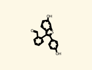 O=Cc1ccccc1-c1c(-c2ccc(O)cc2)sc2cc(O)ccc12